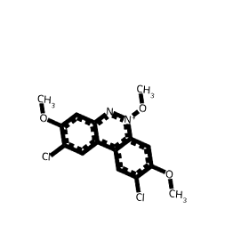 COc1cc2n[n+](OC)c3cc(OC)c(Cl)cc3c2cc1Cl